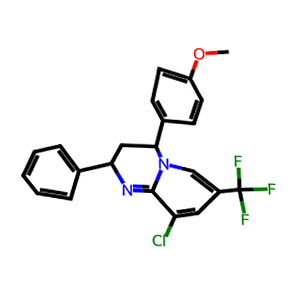 COc1ccc(C2CC(c3ccccc3)N=C3C(Cl)=CC(C(F)(F)F)=CN32)cc1